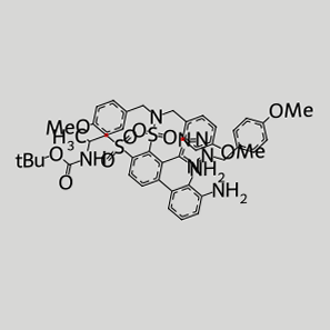 COc1ccc(CN(Cc2ccc(OC)cc2)S(=O)(=O)c2c(S(=O)(=O)CC(C)NC(=O)OC(C)(C)C)ccc(-c3cccc(N)c3N)c2-c2nnn(Cc3ccc(OC)cc3)n2)cc1